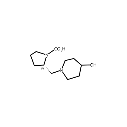 O=C(O)N1CCC[C@H]1CN1CCC(O)CC1